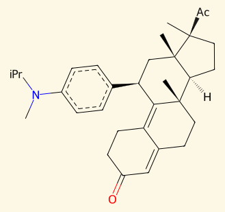 CC(=O)[C@@]1(C)CC[C@@H]2[C@]1(C)C[C@H](c1ccc(N(C)C(C)C)cc1)C1=C3CCC(=O)C=C3CC[C@]12C